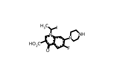 CC(I)n1cc(C(=O)O)c(=O)c2cc(F)c(N3CCNCC3)cc21